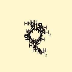 CCCC[C@@H]1NC(=O)[C@@H](NC(=O)[C@H](CCCNC(=N)N)NC(C)=O)CC(=O)NCCCCC(C(N)=O)NC(=O)[C@H](Cc2c[nH]c3ccccc23)NC(=O)[C@H](CCCNC(=N)N)NC(=O)[C@@H](Cc2ccccc2)NC1=O